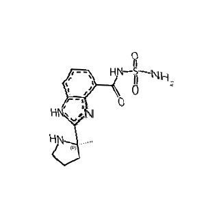 C[C@]1(c2nc3c(C(=O)NS(N)(=O)=O)cccc3[nH]2)CCCN1